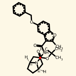 Cc1oc2ccc(OCc3ccccc3)cc2c1C(=O)NC1C[C@H]2CC[C@@H](C1)N2C(=O)OC(C)(C)C